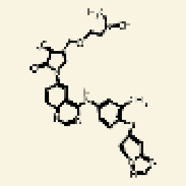 C=C1C(=O)N(c2ccc3ncnc(Nc4ccc(Oc5ccn6ncnc6c5)c(C)c4)c3c2)C[C@@H]1COCCN(C)C